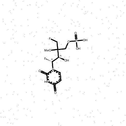 COC(CF)(COP(=O)(O)O)[C@@H](O)[C@@H](F)n1ccc(=O)[nH]c1=O